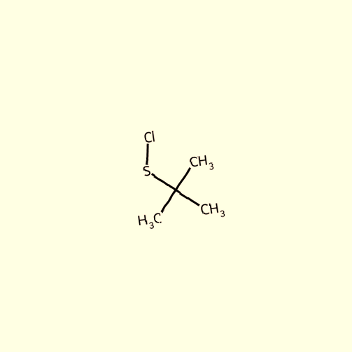 CC(C)(C)SCl